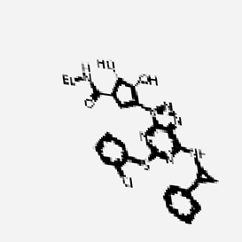 CCNC(=O)[C@@H]1C[C@H](n2nnc3c(NC4CC4c4ccccc4)nc(Sc4ccccc4Cl)nc32)[C@@H](O)[C@H]1O